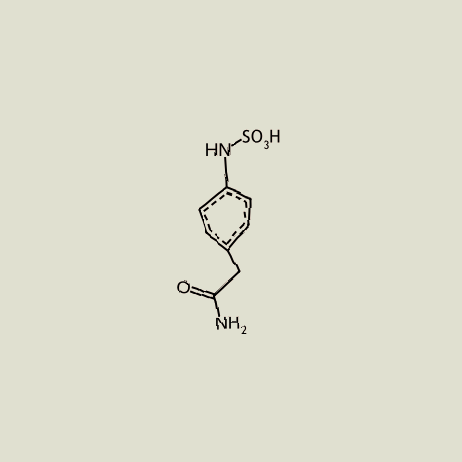 NC(=O)Cc1ccc(NS(=O)(=O)O)cc1